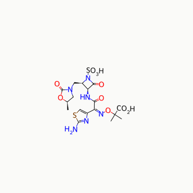 C[C@@H]1CN(C[C@@H]2[C@H](NC(=O)/C(=N\OC(C)(C)C(=O)O)c3csc(N)n3)C(=O)N2S(=O)(=O)O)C(=O)O1